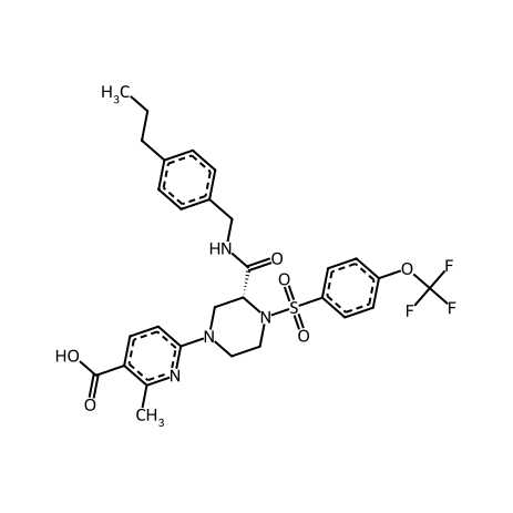 CCCc1ccc(CNC(=O)[C@H]2CN(c3ccc(C(=O)O)c(C)n3)CCN2S(=O)(=O)c2ccc(OC(F)(F)F)cc2)cc1